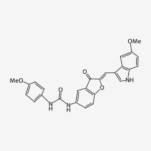 COc1ccc(NC(=O)Nc2ccc3c(c2)C(=O)C(=Cc2c[nH]c4ccc(OC)cc24)O3)cc1